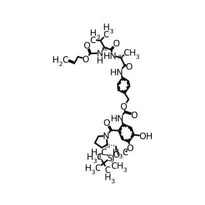 C=CCOC(=O)N[C@H](C(=O)N[C@@H](C)C(=O)Nc1ccc(COC(=O)Nc2cc(O)c(OC)cc2C(=O)N2CCC[C@H]2CO[Si](C)(C)C(C)(C)C)cc1)C(C)C